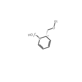 CCOC[C@@H]1C=CC=CN1C(=O)O